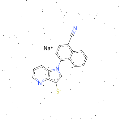 N#Cc1ccc(-n2cc([S-])c3ncccc32)c2ccccc12.[Na+]